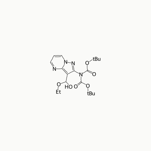 CCOC(O)c1c(N(C(=O)OC(C)(C)C)C(=O)OC(C)(C)C)nn2cccnc12